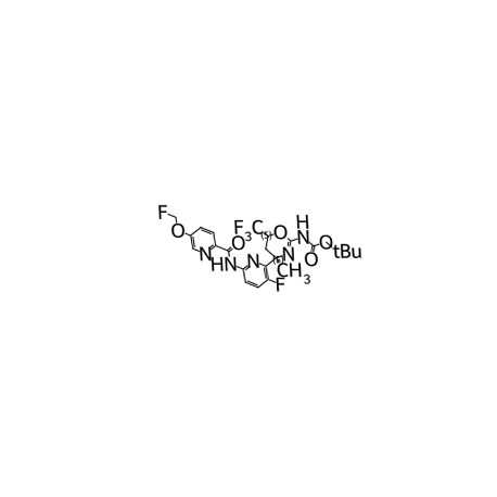 CC(C)(C)OC(=O)NC1=N[C@](C)(c2nc(NC(=O)c3ccc(OCF)cn3)ccc2F)C[C@@H](C(F)(F)F)O1